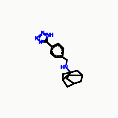 c1cc(-c2nnn[nH]2)ccc1CNC12CC3CC(CC(C3)C1)C2